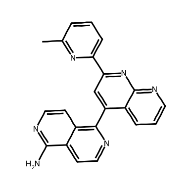 Cc1cccc(-c2cc(-c3nccc4c(N)nccc34)c3cccnc3n2)n1